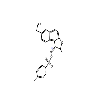 Cc1ccc(S(=O)(=O)O/N=C2/c3c(ccc4cc(CO)ccc34)OC2C)cc1